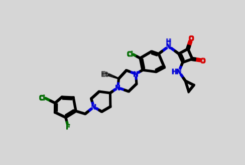 CC[C@H]1CN(c2ccc(Nc3c(NC4CC4)c(=O)c3=O)cc2Cl)CCN1C1CCN(Cc2ccc(Cl)cc2F)CC1